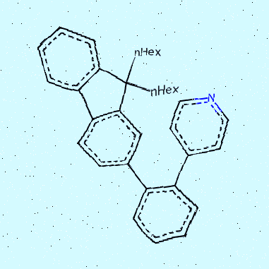 CCCCCCC1(CCCCCC)c2ccccc2-c2ccc(-c3ccccc3-c3ccncc3)cc21